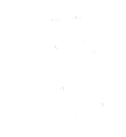 CCCCC1(CCCC)CN(c2ccccc2)c2cc(Cl)c(O/C=C(\F)C(=O)O)cc2S(=O)(=O)C1